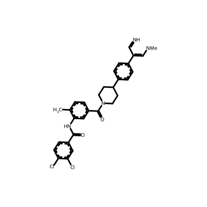 CN/C=C(\C=N)c1ccc(C2CCN(C(=O)c3ccc(C)c(NC(=O)c4ccc(Cl)c(Cl)c4)c3)CC2)cc1